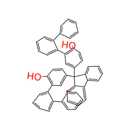 Oc1ccc(C2(c3ccc(O)c(-c4ccccc4-c4ccccc4)c3)c3ccccc3-c3ccccc32)cc1-c1ccccc1-c1ccccc1